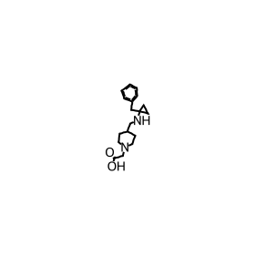 O=C(O)CN1CCC(CNC2(Cc3ccccc3)CC2)CC1